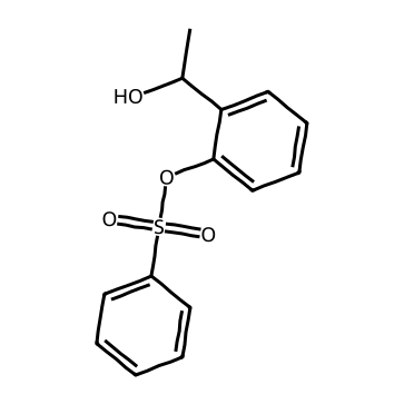 CC(O)c1ccccc1OS(=O)(=O)c1ccccc1